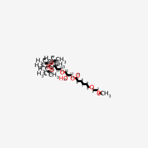 COCCOCCCCCC(=O)OCC(O)COCCC[Si](OC(C)(C)C)(OC(C)(C)C)OC(C)(C)C